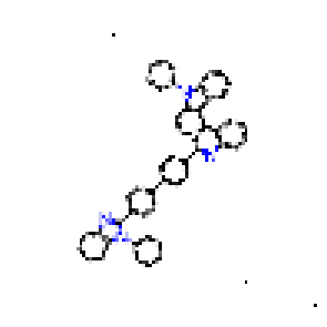 c1ccc(-n2c(-c3ccc(-c4ccc(-c5nc6ccccc6c6c5ccc5c6c6ccccc6n5-c5ccccc5)cc4)cc3)nc3ccccc32)cc1